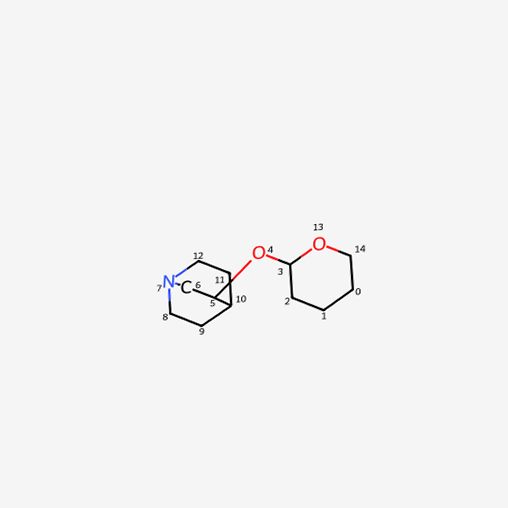 C1CCC(OC2CN3CCC2CC3)OC1